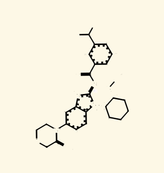 O=C(/N=c1\[nH]c2cc(N3CCOCC3=O)ccc2n1[C@H]1CCCC[C@H]1CO)c1cccc(C(F)F)c1